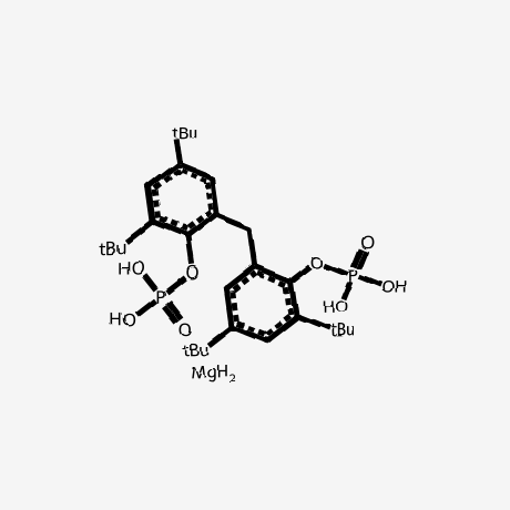 CC(C)(C)c1cc(Cc2cc(C(C)(C)C)cc(C(C)(C)C)c2OP(=O)(O)O)c(OP(=O)(O)O)c(C(C)(C)C)c1.[MgH2]